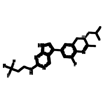 CC1=Nc2c(F)cc(-c3c[nH]c4nc(NCCC(F)(F)F)ncc34)cc2C[C@@H]1CC(C)C